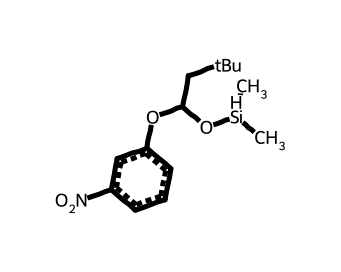 C[SiH](C)OC(CC(C)(C)C)Oc1cccc([N+](=O)[O-])c1